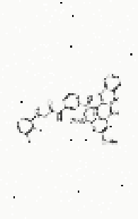 COc1cc(Nc2nc3ccccc3nc2NS(=O)(=O)c2cccc(NC(=O)CNc3cccc(C)c3C)c2)cc(OC)c1